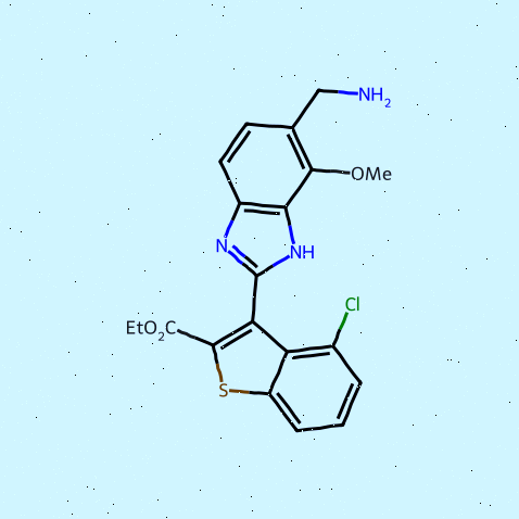 CCOC(=O)c1sc2cccc(Cl)c2c1-c1nc2ccc(CN)c(OC)c2[nH]1